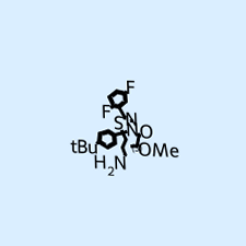 CO[C@@H](C)C(=O)N1N=C(c2cc(F)ccc2F)SC1(CCCN)c1ccc(C(C)(C)C)cc1